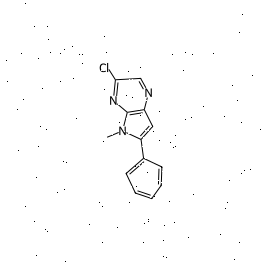 Cn1c(-c2ccccc2)cc2ncc(Cl)nc21